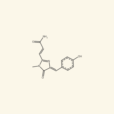 CN1C(=O)C(=Cc2ccc(O)cc2)N=C1C=CC(N)=O